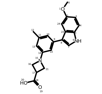 COc1ccc2[nH]cc(-c3cc(C)cc(N4CC(C(=O)O)C4)c3)c2c1